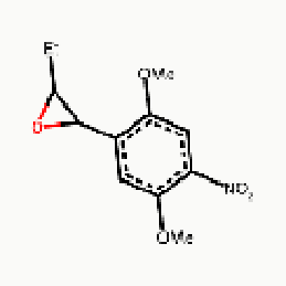 CCC1OC1c1cc(OC)c([N+](=O)[O-])cc1OC